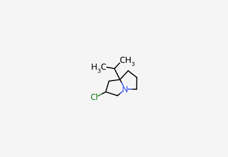 CC(C)C12CCCN1CC(Cl)C2